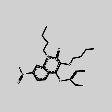 CC=C(CC)Oc1c(OCCCC)c(=O)n(CCCC)c2cc([N+](=O)[O-])ccc12